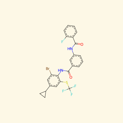 O=C(Nc1c(Br)cc(C2CC2)cc1SC(F)(F)F)c1cccc(NC(=O)c2ccccc2F)c1